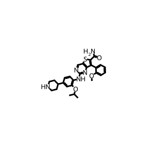 COc1ccccc1-c1c(C(N)=O)sc2cnc(Nc3ccc(C4CCNCC4)cc3OC(C)C)nc12